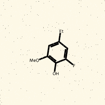 CCc1cc(F)c(O)c(OC)c1